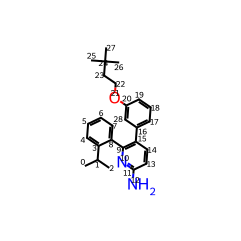 CC(C)c1ccccc1-c1nc(N)ccc1-c1cccc(OCCC(C)(C)C)c1